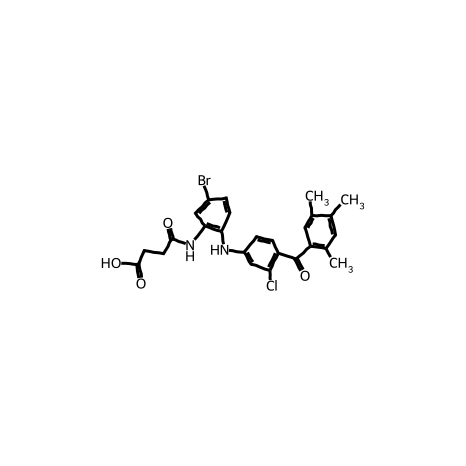 Cc1cc(C)c(C(=O)c2ccc(Nc3ccc(Br)cc3NC(=O)CCC(=O)O)cc2Cl)cc1C